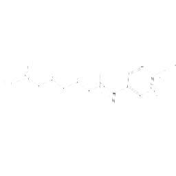 CN(C)CCCCCNC(=O)c1ccc([18F])nc1